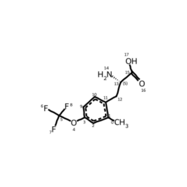 Cc1cc(OC(F)(F)F)ccc1C[C@H](N)C(=O)O